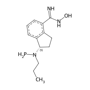 CCCN(P)[C@H]1CCc2c(C(=N)NO)cccc21